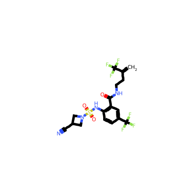 C=C(CCNC(=O)c1cc(C(F)(F)F)ccc1NS(=O)(=O)N1CC(C#N)C1)C(F)(F)F